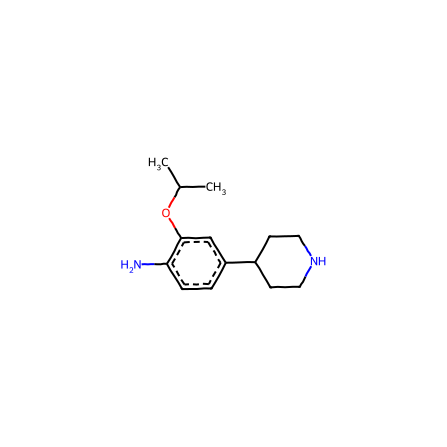 CC(C)Oc1cc(C2CCNCC2)ccc1N